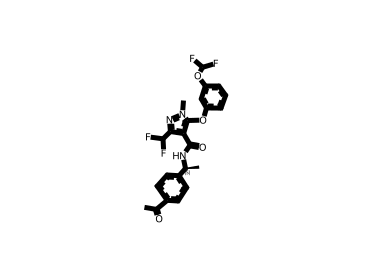 CC(=O)c1ccc([C@H](C)NC(=O)c2c(C(F)F)nn(C)c2Oc2cccc(OC(F)F)c2)cc1